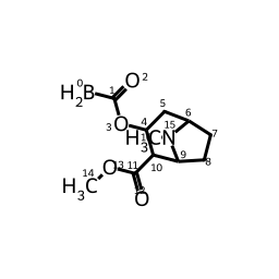 BC(=O)OC1CC2CCC(C1C(=O)OC)N2C